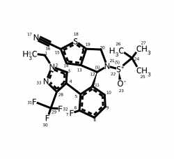 CCn1cc(-c2c(F)cccc2[C@H]2c3cc(C#N)sc3CN2[S@+]([O-])C(C)(C)C)c(C(F)(F)F)n1